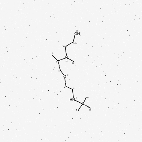 CC(COCCNC(C)(C)C)N(C)CCO